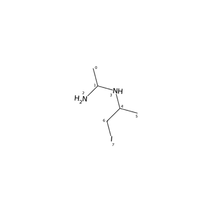 CC(N)NC(C)CI